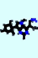 CCCCC(CN)c1nc(C)nc2c(-c3c(C)cc(C)cc3C)cn(C)c12